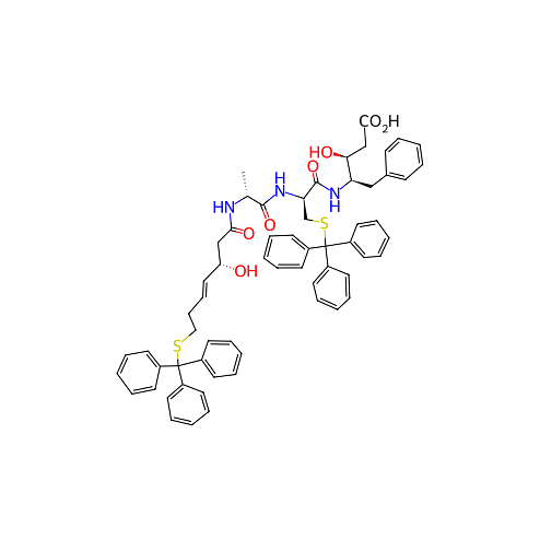 C[C@@H](NC(=O)C[C@H](O)C=CCCSC(c1ccccc1)(c1ccccc1)c1ccccc1)C(=O)N[C@H](CSC(c1ccccc1)(c1ccccc1)c1ccccc1)C(=O)N[C@H](Cc1ccccc1)[C@@H](O)CC(=O)O